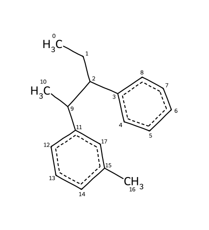 CCC(c1ccccc1)C(C)c1cccc(C)c1